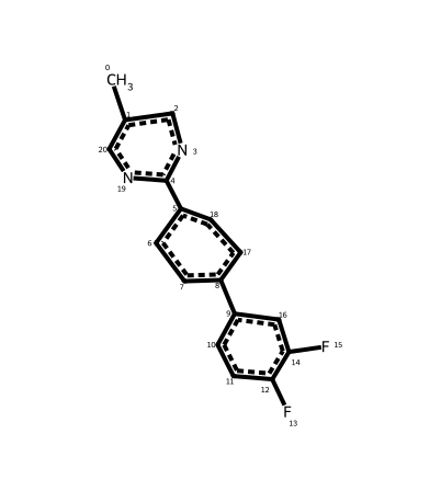 Cc1cnc(-c2ccc(-c3ccc(F)c(F)c3)cc2)nc1